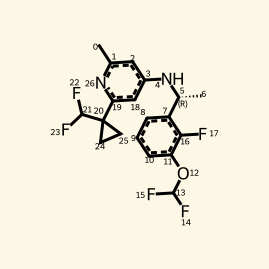 Cc1cc(N[C@H](C)c2cccc(OC(F)F)c2F)cc(C2(C(F)F)CC2)n1